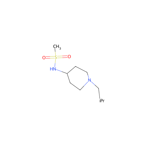 CC(C)CN1CCC(NS(C)(=O)=O)CC1